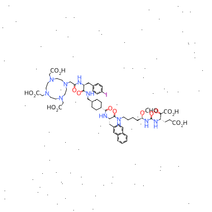 O=CO[C@H](CCCCNC(=O)[C@H](Cc1ccc2ccccc2c1)NC(=O)[C@H]1CC[C@H](CNC(=O)[C@H](Cc2ccc(I)cc2)NC(=O)CN2CCN(CC(=O)O)CCN(CC(=O)O)CCN(CC(=O)O)CC2)CC1)NC(=O)N[C@@H](CCC(=O)O)C(=O)C(=O)O